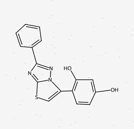 Oc1ccc(-c2csc3nc(-c4ccccc4)nn23)c(O)c1